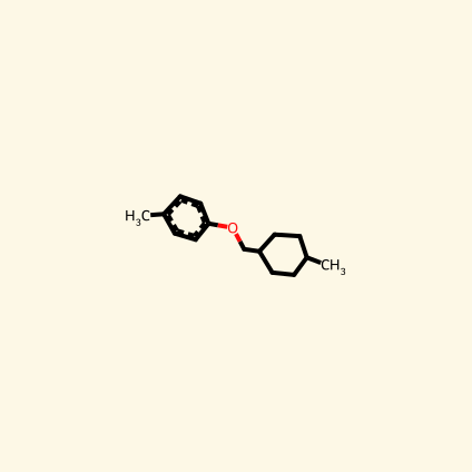 Cc1ccc(OCC2CCC(C)CC2)cc1